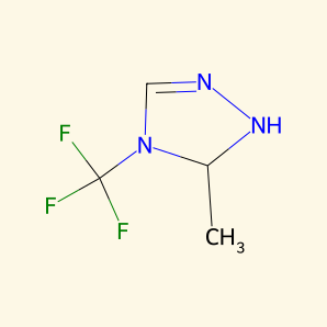 CC1NN=CN1C(F)(F)F